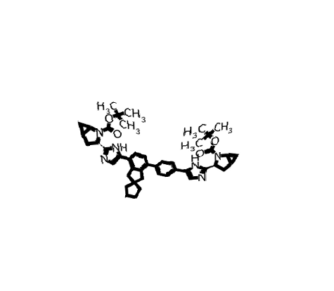 CC(C)(C)OC(=O)N1C2CC2C[C@H]1c1ncc(-c2ccc(-c3ccc(-c4cnc([C@@H]5CC6CC6N5C(=O)OC(C)(C)C)[nH]4)c4c3CC3(CCCC3)C4)cc2)[nH]1